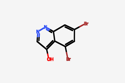 Oc1cnnc2cc(Br)cc(Br)c12